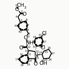 COC(=O)Cc1ccc(CONC(=O)[C@@H]2c3ccccc3C(=O)N([C@H]3CCCC[C@@H]3O)[C@H]2c2ccc(Cl)cc2Cl)cc1